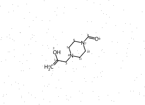 C=C(O)CN1CCN([C]=O)CC1